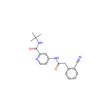 CC(C)(C)NC(=O)c1cc(NC(=O)Cc2ccccc2C#N)ccn1